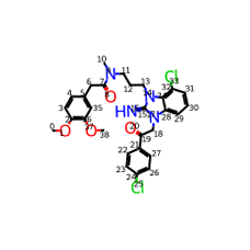 COc1ccc(CC(=O)N(C)CCCn2c(=N)n(CC(=O)c3ccc(Cl)cc3)c3cccc(Cl)c32)cc1OC